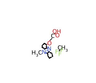 CC(F)(F)F.CC[n+]1c2ccccc2nc2c(OCCCC(=O)O)cccc21